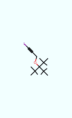 CC(C)(C)C(OCC#CI)(C(C)(C)C)C(C)(C)C